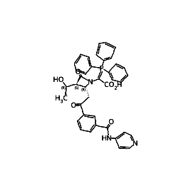 C[C@@H](O)[C@H]1C(=O)N(C(C(=O)O)=P(c2ccccc2)(c2ccccc2)c2ccccc2)[C@@H]1CC(=O)c1cccc(C(=O)Nc2ccncc2)c1